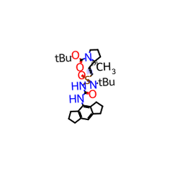 CC(C)(C)N=S(=O)(/C=C/[C@]1(C)CCCN1C(=O)OC(C)(C)C)NC(=O)Nc1c2c(cc3c1CCC3)CCC2